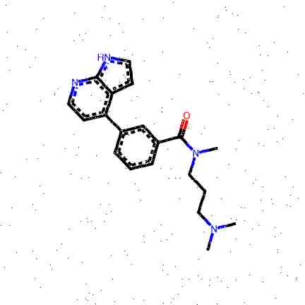 CN(C)CCCN(C)C(=O)c1cccc(-c2ccnc3[nH]ccc23)c1